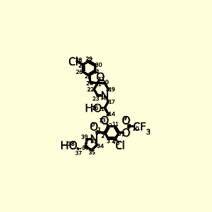 O=C(c1cc(Cl)c(OC(=O)C(F)(F)F)cc1OC[C@@H](O)CN1CCC2(CC1)Cc1cc(Cl)ccc1O2)N1CC[C@H](CO)C1